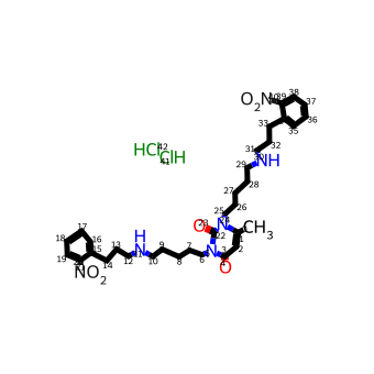 Cc1cc(=O)n(CCCCCNCCCc2ccccc2[N+](=O)[O-])c(=O)n1CCCCCNCCCc1ccccc1[N+](=O)[O-].Cl.Cl